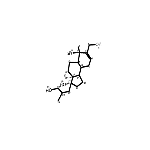 CCC[C@@]1(C)C(CO)=CCC2C1CC[C@@]1(C)C2CC[C@@]1(O)CC(C)CO